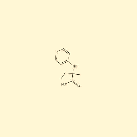 CCC(C)(Nc1ccccc1)C(=O)O